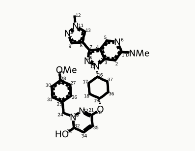 CNc1cc2c(cn1)c(-c1cnn(C)c1)nn2[C@H]1CC[C@@H](OC2=NN(Cc3ccc(OC)cc3)C(O)C=C2)CC1